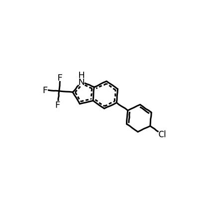 FC(F)(F)c1cc2cc(C3=CCC(Cl)C=C3)ccc2[nH]1